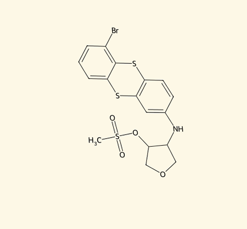 CS(=O)(=O)OC1COCC1Nc1ccc2c(c1)Sc1cccc(Br)c1S2